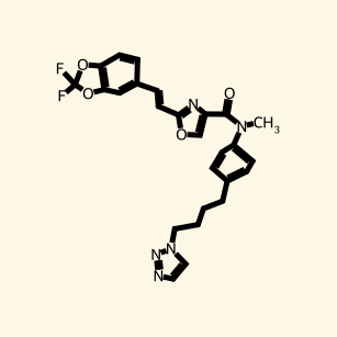 CN(C(=O)c1coc(C=Cc2ccc3c(c2)OC(F)(F)O3)n1)c1ccc(CCCCn2ccnn2)cc1